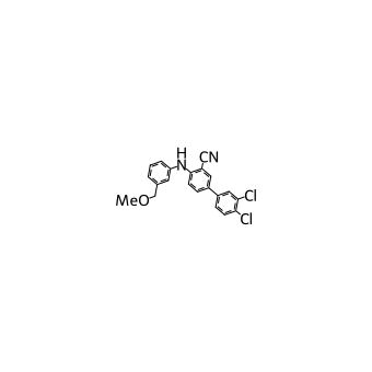 COCc1cccc(Nc2ccc(-c3ccc(Cl)c(Cl)c3)cc2C#N)c1